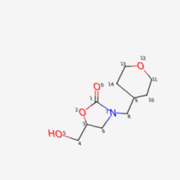 O=C1OC(CO)CN1CC1CCOCC1